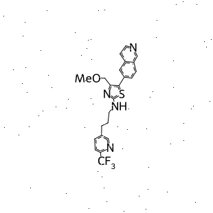 COCc1nc(NCCCc2ccc(C(F)(F)F)nc2)sc1-c1ccc2cnccc2c1